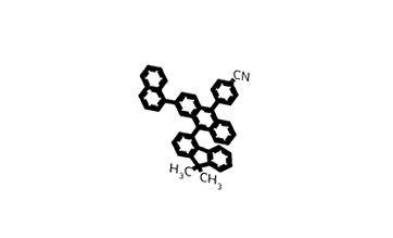 CC1(C)c2ccccc2-c2c(-c3c4ccccc4c(-c4ccc(C#N)cc4)c4ccc(-c5cccc6ccccc56)cc34)cccc21